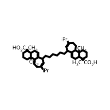 CC(C)C1=CC(CCCCCCC2C=C(C(C)C)CCC3C2=CCC2C(C)(C(=O)O)CCCC32C)C2=CCC3C(C)(C(=O)O)CCCC3(C)C2CC1